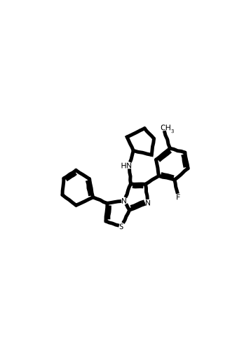 Cc1ccc(F)c(-c2nc3scc(C4=CC=CCC4)n3c2NC2CCCC2)c1